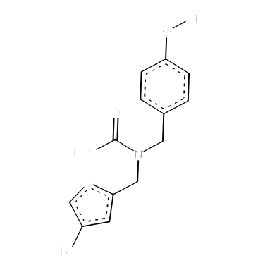 COc1ccc(CN(Cc2cc(Br)cs2)C(C)=O)cc1